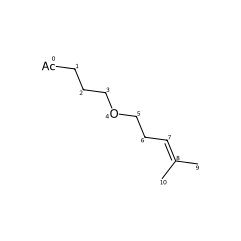 CC(=O)CCCOCCC=C(C)C